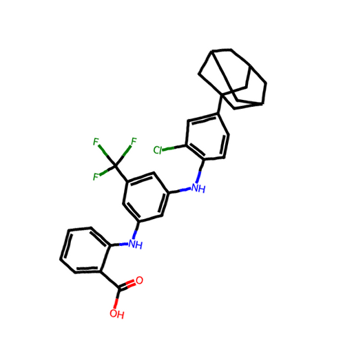 O=C(O)c1ccccc1Nc1cc(Nc2ccc(C34CC5CC(CC(C5)C3)C4)cc2Cl)cc(C(F)(F)F)c1